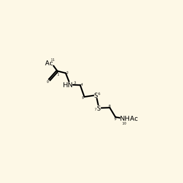 C=C(CNCCSSCCNC(C)=O)C(C)=O